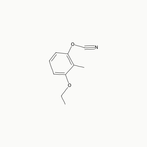 CCOc1cccc(OC#N)c1C